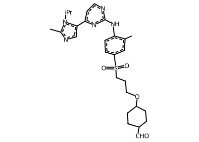 Cc1cc(S(=O)(=O)CCCOC2CCC(C=O)CC2)ccc1Nc1nccc(-c2cnc(C)n2C(C)C)n1